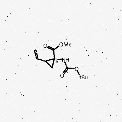 C=CC1C[C@@]1(NC(=O)OC(C)(C)C)C(=O)OC